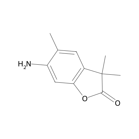 Cc1cc2c(cc1N)OC(=O)C2(C)C